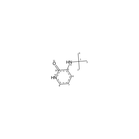 CC(C)(C)Nc1ccc[nH]c1=O